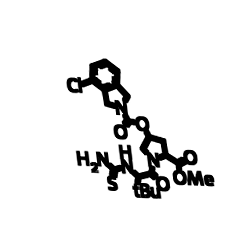 COC(=O)C1CC(OC(=O)N2Cc3cccc(Cl)c3C2)CN1C(=O)C(NC(N)=S)C(C)(C)C